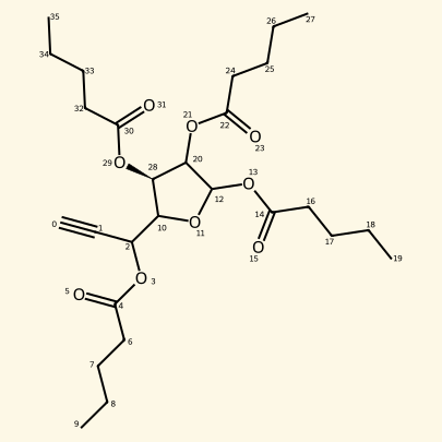 C#CC(OC(=O)CCCC)C1OC(OC(=O)CCCC)C(OC(=O)CCCC)[C@@H]1OC(=O)CCCC